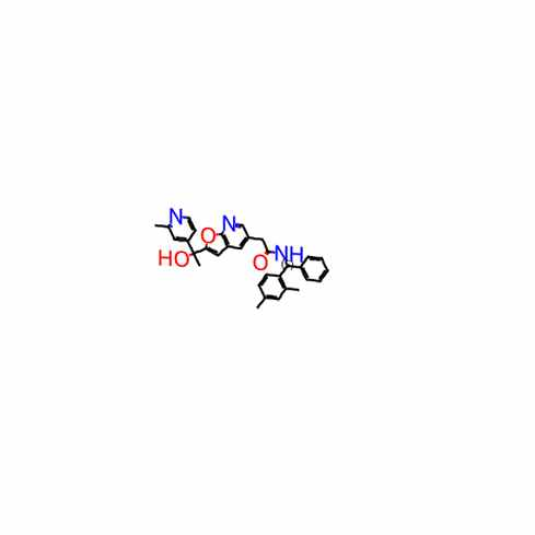 Cc1ccc([C@@H](NC(=O)Cc2cnc3oc(C(C)(O)c4ccnc(C)c4)cc3c2)c2ccccc2)c(C)c1